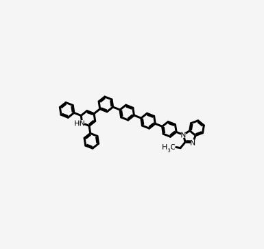 CCc1nc2ccccc2n1-c1ccc(-c2ccc(-c3ccc(-c4cccc(C5=CC(c6ccccc6)NC(c6ccccc6)=C5)c4)cc3)cc2)cc1